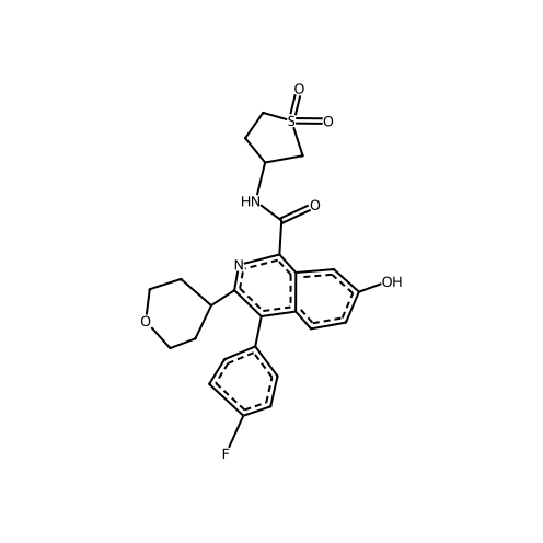 O=C(NC1CCS(=O)(=O)C1)c1nc(C2CCOCC2)c(-c2ccc(F)cc2)c2ccc(O)cc12